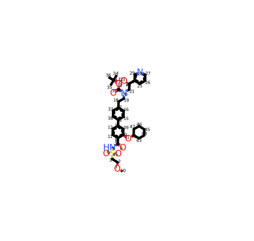 COCCS(=O)(=O)NC(=O)c1ccc(-c2ccc(CCN(C[C@H](O)c3cccnc3)C(=O)OC(C)(C)C)cc2)cc1OC1CCCCC1